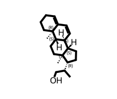 CC(CO)[C@H]1CC[C@H]2[C@@H]3C=CC4=CCCC[C@]4(C)[C@H]3CC[C@]12C